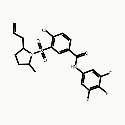 C=CCC1CCC(C)N1S(=O)(=O)c1cc(C(=O)Nc2cc(F)c(F)c(F)c2)ccc1Cl